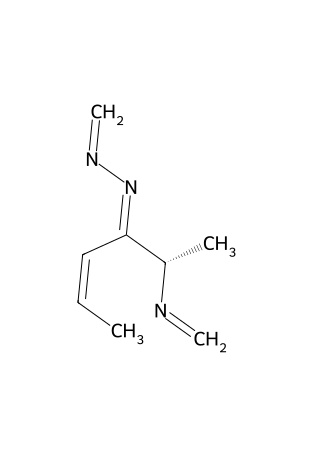 C=N/N=C(\C=C/C)[C@H](C)N=C